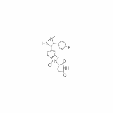 CN1CNC(c2ccc3c(c2)CN(C2CCC(=O)NC2=O)C3=O)=C1c1ccc(F)cc1